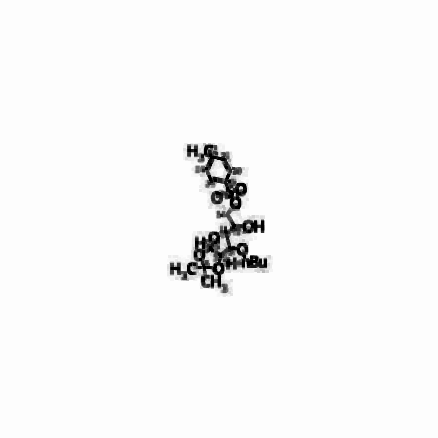 CCCCO[C@H]1[C@H]2OC(C)(C)O[C@H]2O[C@@H]1[C@H](O)COS(=O)(=O)c1ccc(C)cc1